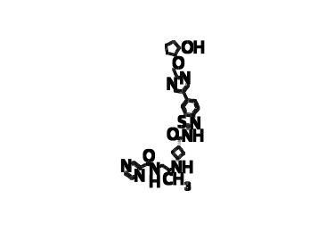 C[C@@H](CNC(=O)c1cnccn1)N[C@H]1C[C@@H](C(=O)Nc2nc3ccc(-c4cnc(CO[C@H]5CCC[C@@H]5O)nc4)cc3s2)C1